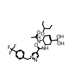 CCC(CC)O[C@@H]1C=C(C(O)O)C[C@H](NC(=O)c2cnn(Cc3ccc(C(F)(F)F)cc3)c2)[C@H]1NC(C)=O